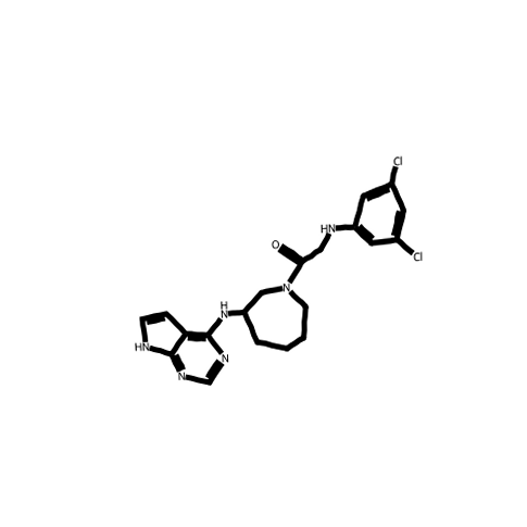 O=C(CNc1cc(Cl)cc(Cl)c1)N1CCCCC(Nc2ncnc3[nH]ccc23)C1